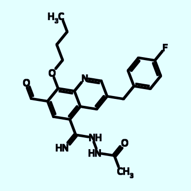 CCCCOc1c(C=O)cc(C(=N)NNC(C)=O)c2cc(Cc3ccc(F)cc3)cnc12